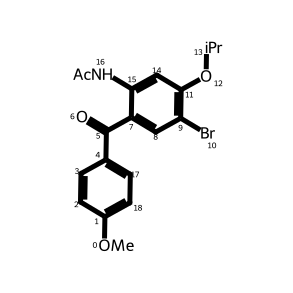 COc1ccc(C(=O)c2cc(Br)c(OC(C)C)cc2NC(C)=O)cc1